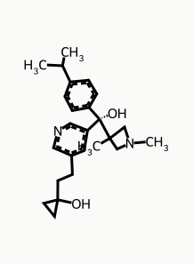 CC(C)c1ccc([C@](O)(c2cncc(CCC3(O)CC3)c2)C2(C)CN(C)C2)cc1